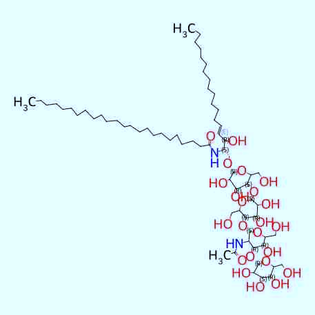 CCCCCCCCCCCCC/C=C/[C@@H](O)[C@H](CO[C@@H]1OC(CO)[C@@H](O[C@@H]2OC(CO)[C@H](O[C@@H]3OC(CO)[C@H](O)[C@H](O[C@@H]4OC(CO)[C@H](O)[C@H](O)C4O)C3NC(C)=O)[C@H](O)C2O)[C@H](O)C1O)NC(=O)CCCCCCCCCCCCCCCCCCCCCCC